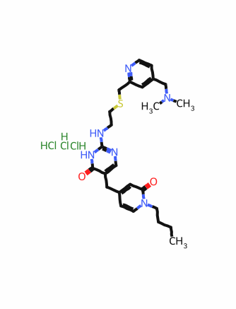 CCCCn1ccc(Cc2cnc(NCCSCc3cc(CN(C)C)ccn3)[nH]c2=O)cc1=O.Cl.Cl.Cl